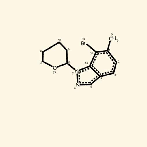 Cc1ccc2cnn(C3CCCCO3)c2c1Br